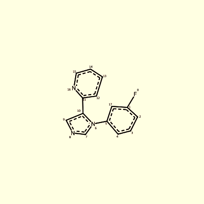 Fc1cccc(-n2cncc2-c2ccccn2)c1